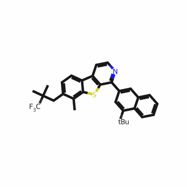 Cc1c(CC(C)(C)C(F)(F)F)ccc2c1sc1c(-c3cc(C(C)(C)C)c4ccccc4c3)nccc12